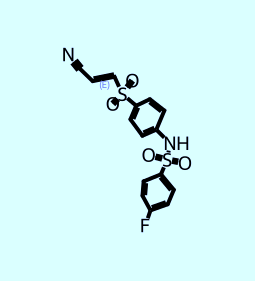 N#C/C=C/S(=O)(=O)c1ccc(NS(=O)(=O)c2ccc(F)cc2)cc1